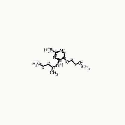 Bc1ncc(OCCOC)c(NC(C)CCC)n1